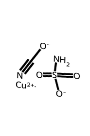 N#C[O-].NS(=O)(=O)[O-].[Cu+2]